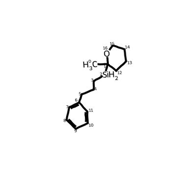 CC1([SiH2]CCCc2ccccc2)CCCCO1